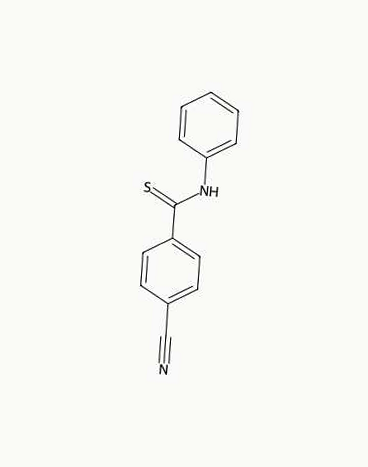 N#Cc1ccc(C(=S)Nc2ccccc2)cc1